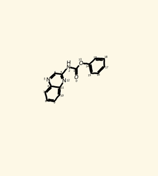 O=C(Nc1cnc2ccccc2n1)Oc1ccccc1